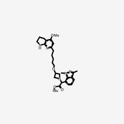 COc1cc(CCCCCOC2CN(C(C(=O)OC(C)(C)C)c3cccc4c(C)nn(C)c34)C2)nc2c1CCCN2